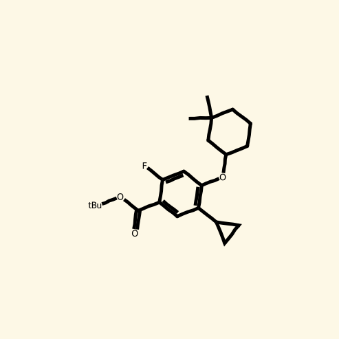 CC1(C)CCCC(Oc2cc(F)c(C(=O)OC(C)(C)C)cc2C2CC2)C1